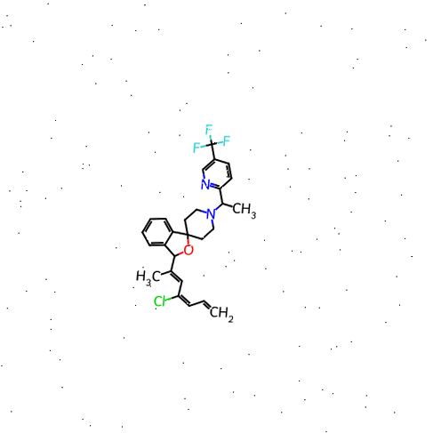 C=C/C=C(Cl)\C=C(/C)C1OC2(CCN(C(C)c3ccc(C(F)(F)F)cn3)CC2)c2ccccc21